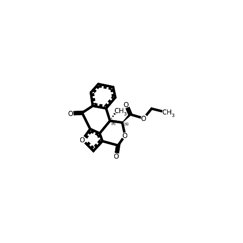 CCOC(=O)[C@H]1OC(=O)c2coc3c2[C@@]1(C)c1ccccc1C3=O